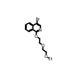 CCOCCOCCOc1ncc(Br)c2ccccc12